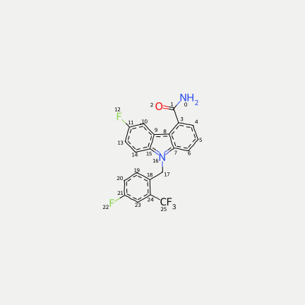 NC(=O)c1cccc2c1c1[c]c(F)ccc1n2Cc1ccc(F)cc1C(F)(F)F